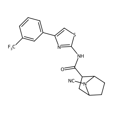 N#CN1C2CCC1C(C(=O)Nc1nc(-c3cccc(C(F)(F)F)c3)cs1)C2